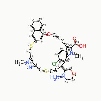 Cn1nc2cc1CSc1cc(c3ccccc3c1)OCCCc1c(C(=O)O)n(C)c3c(c(Cl)ccc13)/C(=C1\COCCN1N)CCSC2